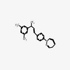 FC(F)(F)c1cc(C(/C=C/c2ccc(N3C=C=CCC=N3)cc2)C(F)(F)F)cc(C(F)(F)F)c1